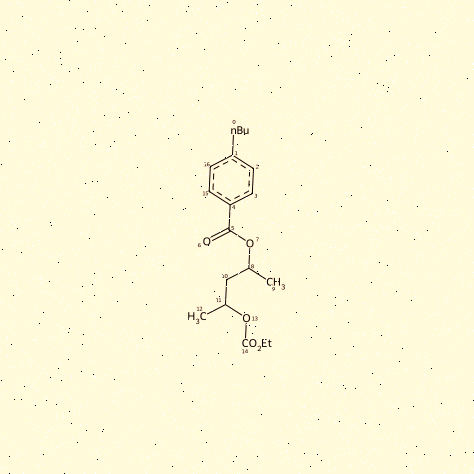 CCCCc1ccc(C(=O)OC(C)CC(C)OC(=O)OCC)cc1